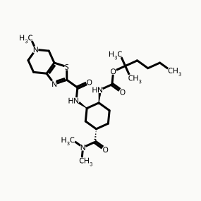 CCCCC(C)(C)OC(=O)N[C@H]1CC[C@H](C(=O)N(C)C)C[C@H]1NC(=O)c1nc2c(s1)CN(C)CC2